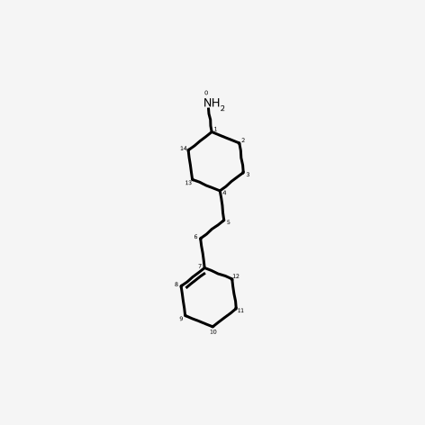 NC1CCC(CCC2=CCCCC2)CC1